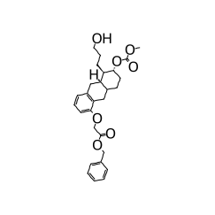 COC(=O)O[C@@H]1CCC2Cc3c(cccc3OCC(=O)OCc3ccccc3)C[C@@H]2[C@H]1CCCO